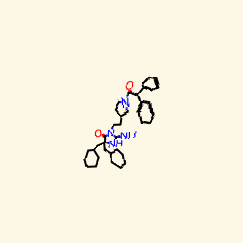 N=C1NC(CC2CCCCC2)(CC2CCCCC2)C(=O)N1CCC1CCN(C(=O)C(c2ccccc2)c2ccccc2)C1